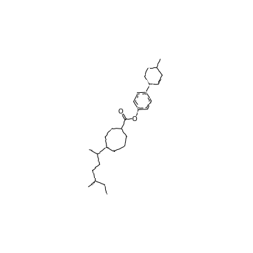 CCC(C)CCC(C)C1CCCC(C(=O)Oc2ccc(C3CCC(C)CC3)cc2)CC1